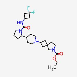 CCOC(=O)N1CCC2(CC(N3CCC(C4CCCN4C(=O)NC4CC(F)(F)C4)CC3)C2)C1